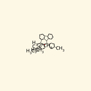 Cc1ccc(C(c2ccc(C)cc2)C2c3ccccc3-c3cccc(C4=CC(C(C)(C)C)=CC4C)c32)cc1